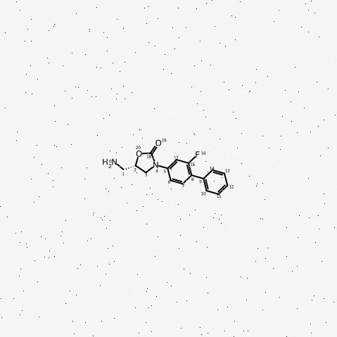 NC[C@H]1CN(c2ccc(-c3ccccc3)c(F)c2)C(=O)O1